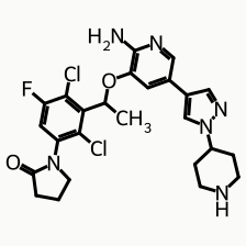 CC(Oc1cc(-c2cnn(C3CCNCC3)c2)cnc1N)c1c(Cl)c(F)cc(N2CCCC2=O)c1Cl